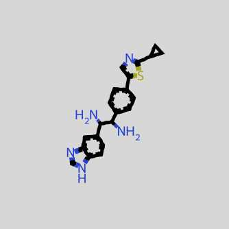 NC(c1ccc(-c2cnc(C3CC3)s2)cc1)C(N)c1ccc2[nH]cnc2c1